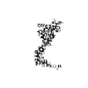 CC[C@H](C)[C@@H]([C@@H](CC(=O)N1CCC[C@H]1[C@H](OC)[C@@H](C)C(=O)N[C@@H](Cc1ccccc1)C(=O)NOCc1ccc(NC(=O)[C@@H](C)NC(=O)C(NC(=O)CCCC(=O)O)C(C)C)cc1)OC)N(C)C(=O)[C@@H](NC(=O)C(C(C)C)N(C)C)C(C)C